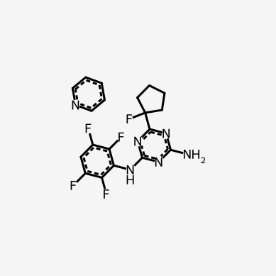 Nc1nc(Nc2c(F)c(F)cc(F)c2F)nc(C2(F)CCCC2)n1.c1ccncc1